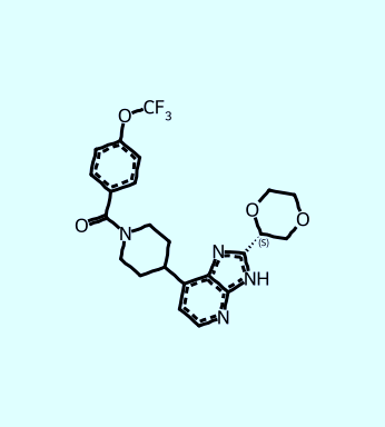 O=C(c1ccc(OC(F)(F)F)cc1)N1CCC(c2ccnc3[nH]c([C@H]4COCCO4)nc23)CC1